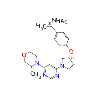 CC(=O)N[C@@H](C)c1ccc(O[C@@H]2CCN(c3cc(N4CCOCC4C)ncn3)C2)cc1